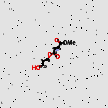 COC(=O)/C=C/C(=O)OCCCO